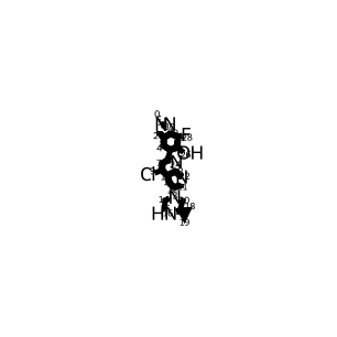 Cn1cc2cc(-c3cc(Cl)c4cc(N5CCNC6(CC6)C5)cnc4n3)c(O)c(F)c2n1